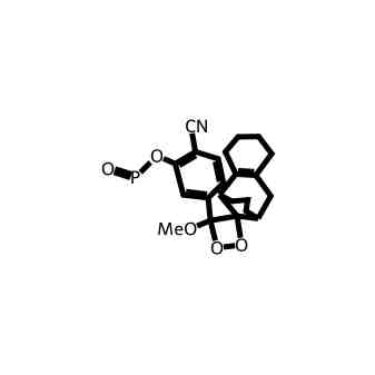 COC1(c2ccc(C#N)c(OP=O)c2)OOC12C1CCCC2C2=C(CCCC2)C1